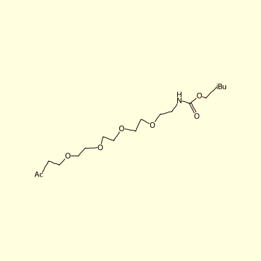 CCC(C)COC(=O)NCCOCCOCCOCCOCCC(C)=O